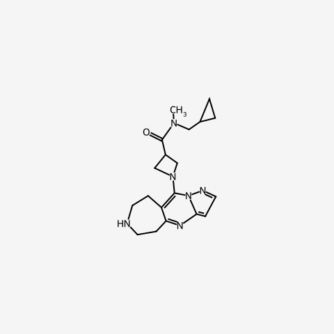 CN(CC1CC1)C(=O)C1CN(c2c3c(nc4ccnn24)CCNCC3)C1